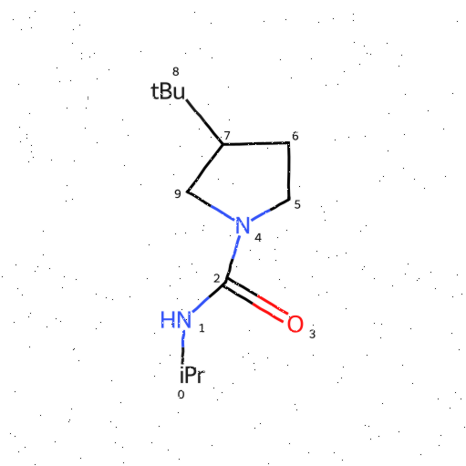 CC(C)NC(=O)N1CCC(C(C)(C)C)C1